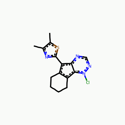 Cc1nc(-c2c3ncnn(Cl)c-3c3c2CCCC3)sc1C